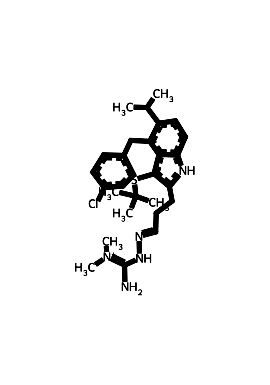 CC(C)c1ccc2[nH]c(CCC=NNC(N)=[N+](C)C)c(SC(C)(C)C)c2c1Cc1ccc(Cl)cc1